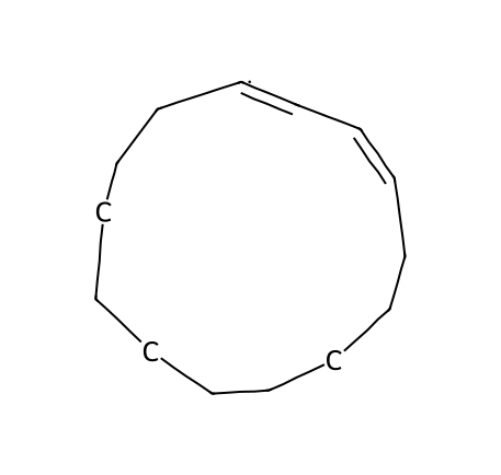 [C]1=CC=CCCCCCCCCCC1